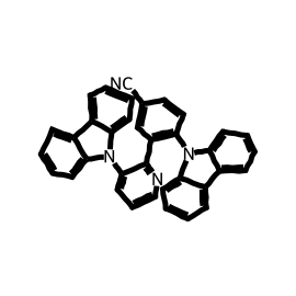 N#Cc1ccc(-n2c3ccccc3c3ccccc32)c(-c2ncccc2-n2c3ccccc3c3ccccc32)c1